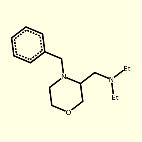 CCN(CC)CC1COCCN1Cc1ccccc1